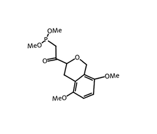 COc1ccc(OC)c2c1COC(C(=O)CP(OC)OC)C2